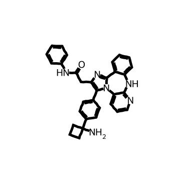 NC1(c2ccc(-c3c(CC(=O)Nc4ccccc4)nc4n3-c3cccnc3Nc3ccccc3-4)cc2)CCC1